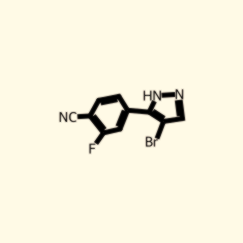 N#Cc1ccc(-c2[nH]ncc2Br)cc1F